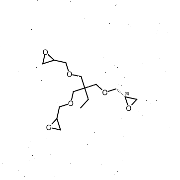 CCC(COCC1CO1)(COCC1CO1)COC[C@@H]1CO1